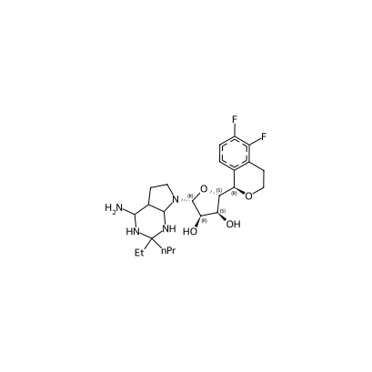 CCCC1(CC)NC(N)C2CCN([C@@H]3O[C@H]([C@@H]4OCCc5c4ccc(F)c5F)[C@@H](O)[C@H]3O)C2N1